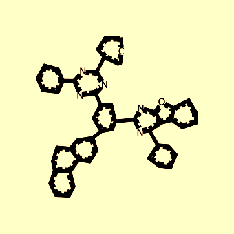 c1ccc(-c2nc(-c3ccccc3)nc(-c3cc(-c4ccc5c(ccc6ccccc65)c4)cc(-c4nc(-c5ccccc5)c5c(n4)oc4ccccc45)c3)n2)cc1